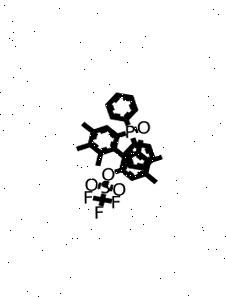 Cc1cc(OS(=O)(=O)C(F)(F)F)c(-c2c(P(=O)(c3ccccc3)c3ccccc3)cc(C)c(C)c2C)c(C)c1C